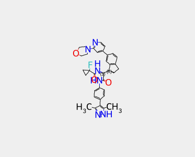 Cc1n[nH]c(C)c1-c1ccc(NC(=O)[C@@H](NC(=O)C2(F)CC2)[C@@H]2CCc3ccc(-c4ccnc(N5CCOCC5)c4)cc32)cc1